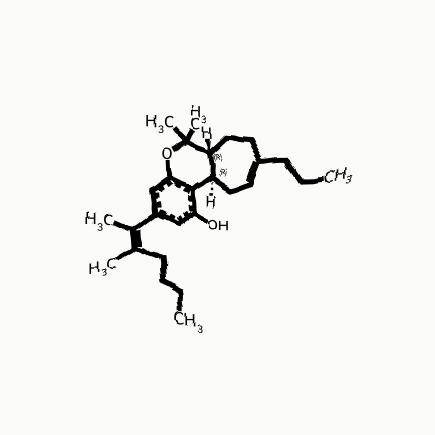 CCCCC(C)=C(C)c1cc(O)c2c(c1)OC(C)(C)[C@@H]1CCC(CCC)=CC[C@@H]21